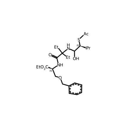 CCOC(=O)[C@H](COCc1ccccc1)NC(=O)C(CC)(CC)NC(O)[C@@H](SC(C)=O)C(C)C